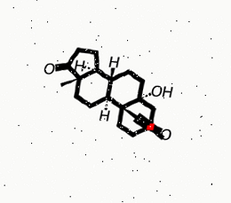 CC#C[C@]12CCC(=O)C[C@]1(O)CC[C@H]1[C@@H]3CCC(=O)[C@@]3(C)CC[C@@H]12